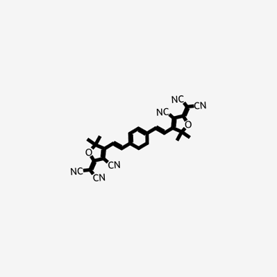 CC1(C)OC(=C(C#N)C#N)C(C#N)=C1/C=C/C1=CC=C(/C=C/C2=C(C#N)C(=C(C#N)C#N)OC2(C)C)CC1